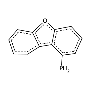 Pc1cccc2oc3ccccc3c12